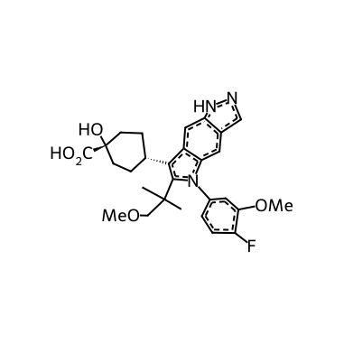 COCC(C)(C)c1c([C@H]2CC[C@](O)(C(=O)O)CC2)c2cc3[nH]ncc3cc2n1-c1ccc(F)c(OC)c1